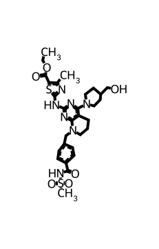 CCOC(=O)c1sc(Nc2nc(N3CCC(CO)CC3)c3c(n2)N(Cc2ccc(C(=O)NS(C)(=O)=O)cc2)CCC3)nc1C